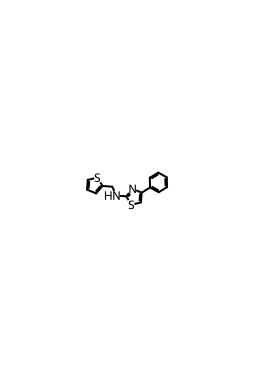 c1ccc(-c2csc(NCc3cccs3)n2)cc1